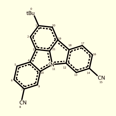 CC(C)(C)c1cc2c3ccc(C#N)cc3n3c4cc(C#N)ccc4c(c1)c23